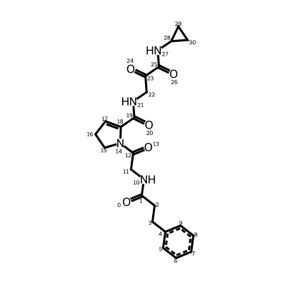 O=C(CCc1ccccc1)NCC(=O)N1CCC=C1C(=O)NCC(=O)C(=O)NC1CC1